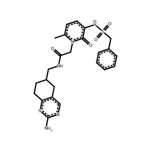 Cc1ccc(NS(=O)(=O)Cc2ccccc2)c(=O)n1CC(=O)NCC1CCc2nc(N)ncc2C1